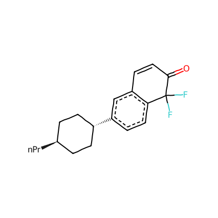 CCC[C@H]1CC[C@H](c2ccc3c(c2)C=CC(=O)C3(F)F)CC1